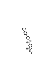 CC(C)N(C)c1nc2ccc(NC(=O)c3ccc(-c4ccc(C(F)(F)F)nc4)cc3)cc2[nH]1